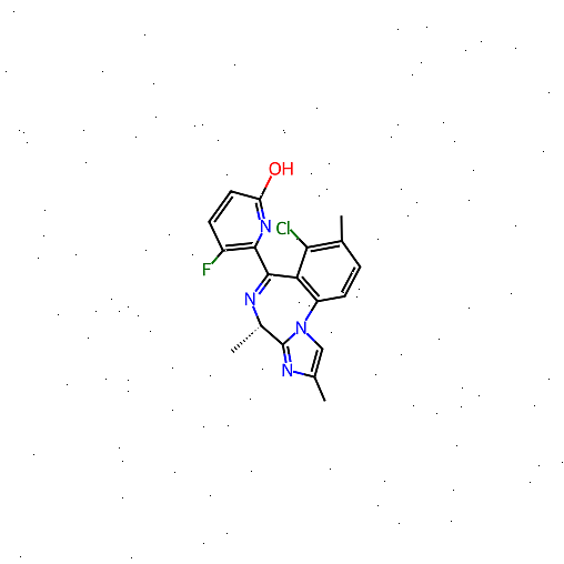 Cc1cn2c(n1)[C@H](C)N=C(c1nc(O)ccc1F)c1c-2ccc(C)c1Cl